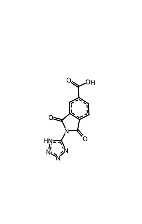 O=C(O)c1ccc2c(c1)C(=O)N(c1nnn[nH]1)C2=O